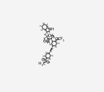 CC(CO)(Cc1c[nH]c2ccccc12)NC(=O)c1cc(C#Cc2ccc(S(C)(=O)=O)cc2)ccc1OC(F)(F)F